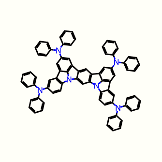 c1ccc(N(c2ccccc2)c2ccc3c(c2)c2cc(N(c4ccccc4)c4ccccc4)cc4c5cc6c7cc(N(c8ccccc8)c8ccccc8)cc8c9cc(N(c%10ccccc%10)c%10ccccc%10)ccc9n(c6cc5n3c24)c87)cc1